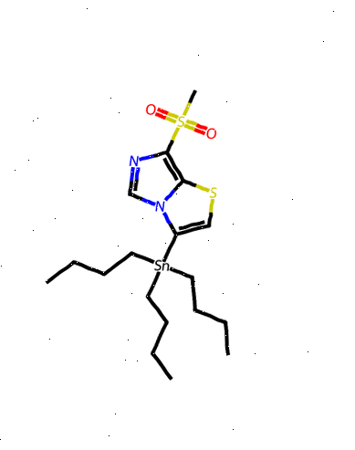 CCC[CH2][Sn]([CH2]CCC)([CH2]CCC)[c]1csc2c(S(C)(=O)=O)ncn12